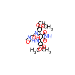 COc1cc2[nH]cc(C3=C(c4cn(CC(O)CN5CCOCC5)c5cc(OC)c(OC)cc45)C(=O)NC3=O)c2cc1OC